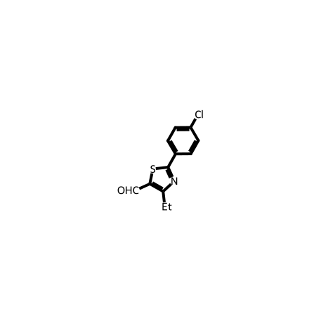 CCc1nc(-c2ccc(Cl)cc2)sc1C=O